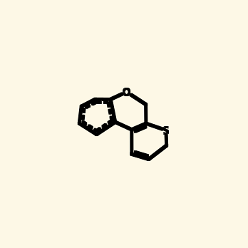 C1=CC2=C(COc3ccccc32)SC1